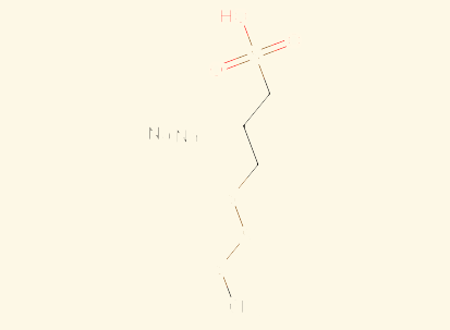 CSSSCCCS(=O)(=O)O.[Na].[Na]